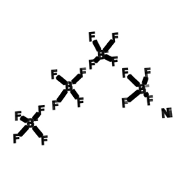 F[B-](F)(F)F.F[B-](F)(F)F.F[B-](F)(F)F.F[B-](F)(F)F.[Ni]